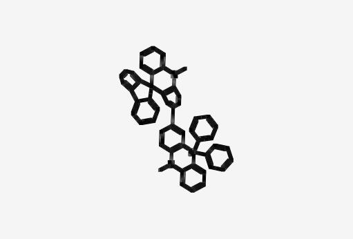 CN1c2ccccc2C2(c3ccccc3-c3ccccc32)c2cc(-c3ccc4c(c3)[Si](c3ccccc3)(c3ccccc3)c3ccccc3N4C)ccc21